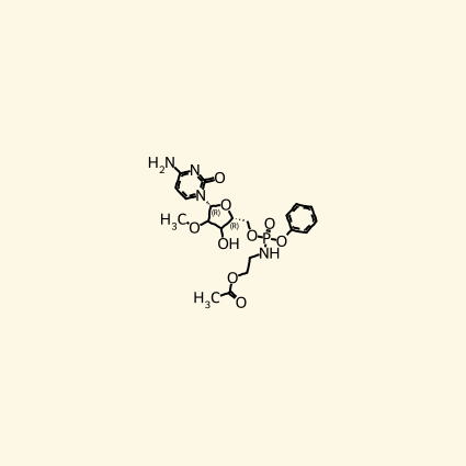 COC1C(O)[C@@H](COP(=O)(NCCOC(C)=O)Oc2ccccc2)O[C@H]1n1ccc(N)nc1=O